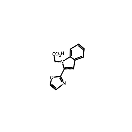 O=C(O)Cn1c(-c2ncco2)cc2ccccc21